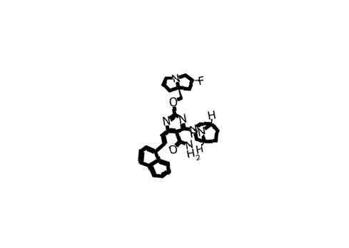 NC(=O)c1c(/C=C/c2cccc3ccccc23)nc(OC[C@@]23CCCN2C[C@H](F)C3)nc1N1C[C@H]2CC[C@@H](C1)N2